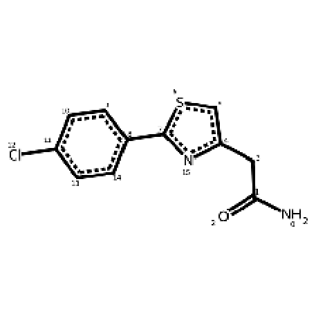 NC(=O)Cc1csc(-c2ccc(Cl)cc2)n1